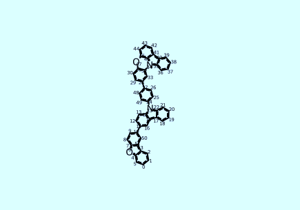 c1ccc2c(c1)oc1ccc(-c3ccc4c(c3)c3ccccc3n4-c3ccc(-c4ccc5c(c4)-n4c6ccccc6c6cccc(c64)O5)cc3)cc12